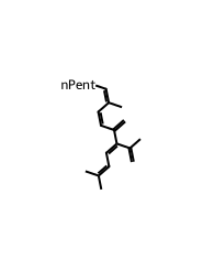 C=C(C)/C(=C\C=C(C)C)C(=C)/C=C\C(C)=C/CCCCC